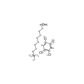 CCCCCCCCCCCCCCCCCC[N+](C)(C)C.[O-]c1nc(Cl)c(Cl)cc1Cl